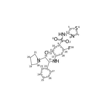 O=S(=O)(Nc1cscn1)c1cc(Cl)c(NC(CN2CCCC2)c2ccccc2)cc1F